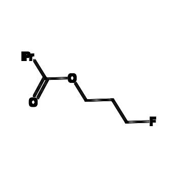 CC(C)C(=O)OCCCF